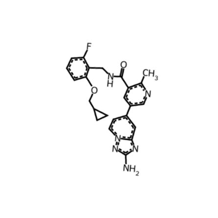 Cc1ncc(-c2ccn3nc(N)nc3c2)cc1C(=O)NCc1c(F)cccc1OCC1CC1